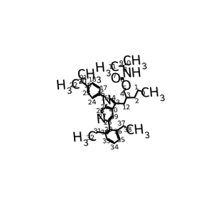 CCCC(COC(=O)NC(C)C)Cc1cn(-c2ccc(C(C)C)cc2)c2cnc(-c3c(CC)cccc3CC)cc12